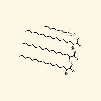 CCCCCCCCCCCCCCC(S)C(=O)[O-].CCCCCCCCCCCCCCC(S)C(=O)[O-].CCCCCCCCCCCCCCC(S)C(=O)[O-].CCCCCCC[CH2][Sn+3]